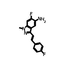 Cn1nc(/C=C/c2ccc(F)cc2)c2cc(N)c(F)cc21